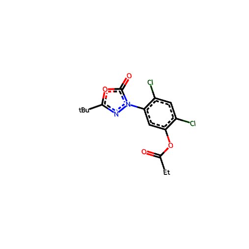 CCC(=O)Oc1cc(-n2nc(C(C)(C)C)oc2=O)c(Cl)cc1Cl